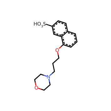 O=S(=O)(O)c1ccc2cccc(OCCCN3CCOCC3)c2c1